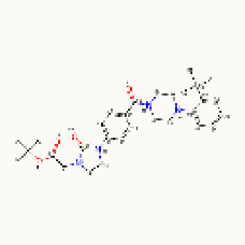 CC(C)(C)OC(=O)CN1CCN(c2ccc(C(=O)N3CCN(c4ccccc4C(C)(C)C)CC3)cc2)C1=O